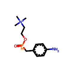 C[N+](C)(C)CCO[PH](=O)Cc1ccc(N)cc1